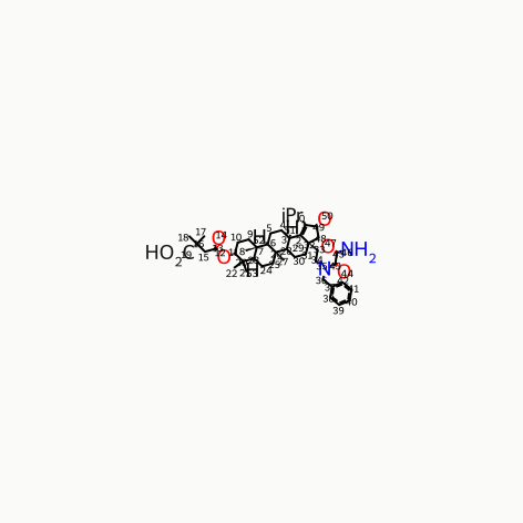 CC(C)C1=C2[C@H]3CC[C@@H]4[C@@]5(C)CC[C@H](OC(=O)CC(C)(C)C(=O)O)C(C)(C)[C@H]5CC[C@@]4(C)[C@]3(C)CC[C@@]2(CCN(Cc2ccccc2)C(=O)C(N)=O)CC1=O